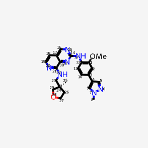 COc1cc(-c2cnn(C)c2)ccc1Nc1ncc2ccnc(NC[C@@]3(C)CCOC3)c2n1